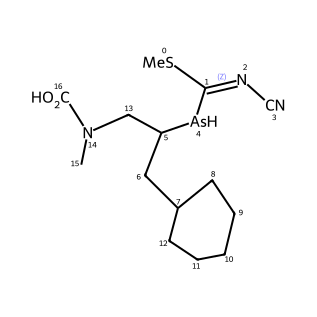 CS/C(=N/C#N)[AsH]C(CC1CCCCC1)CN(C)C(=O)O